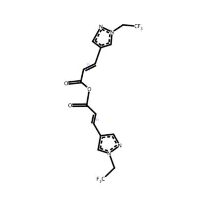 O=C(/C=C/c1cnn(CC(F)(F)F)c1)OC(=O)/C=C/c1cnn(CC(F)(F)F)c1